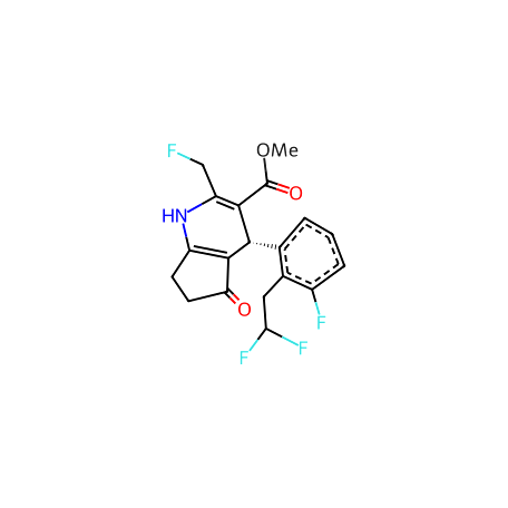 COC(=O)C1=C(CF)NC2=C(C(=O)CC2)[C@H]1c1cccc(F)c1CC(F)F